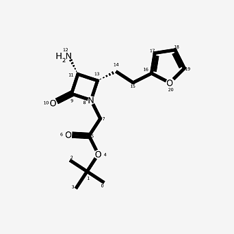 CC(C)(C)OC(=O)CN1C(=O)[C@H](N)[C@@H]1CCc1ccco1